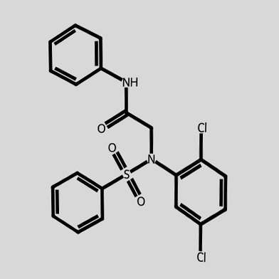 O=C(CN(c1cc(Cl)ccc1Cl)S(=O)(=O)c1ccccc1)Nc1ccccc1